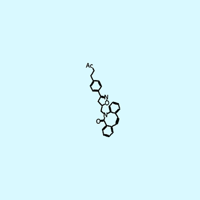 CC(=O)CCc1ccc(C2=NOC(CN3C(=O)c4ccccc4C#Cc4ccccc43)C2)cc1